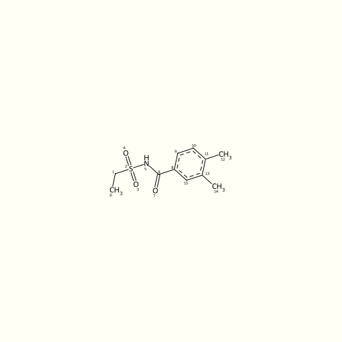 CCS(=O)(=O)NC(=O)c1ccc(C)c(C)c1